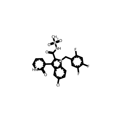 CS(=O)(=O)NC(=O)c1c(-c2ccc[nH]c2=O)c2cc(Cl)ccc2n1Cc1cc(F)c(F)cc1F